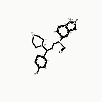 O=CN(CCC(c1ccc(F)cc1)N1CCOCC1)c1ccc2[nH]ncc2c1